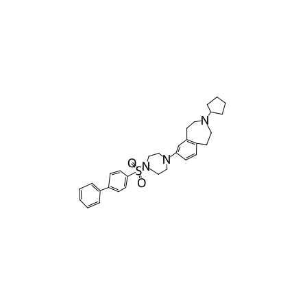 O=S(=O)(c1ccc(-c2ccccc2)cc1)N1CCN(c2ccc3c(c2)CCN(C2CCCC2)CC3)CC1